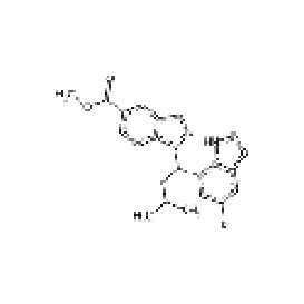 COC(=O)c1ccc2c(cnn2C(CC(C)C)c2cc(Br)cc3cn[nH]c23)c1